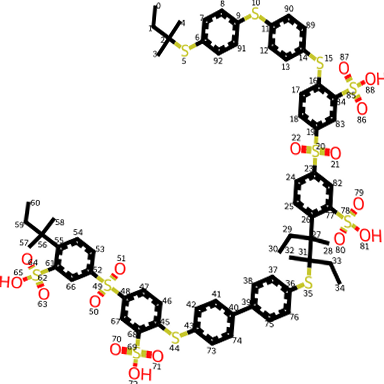 CCC(C)(C)Sc1ccc(Sc2ccc(Sc3ccc(S(=O)(=O)c4ccc(C(C)(CC)C(C)(CC)Sc5ccc(-c6ccc(Sc7ccc(S(=O)(=O)c8ccc(C(C)(C)CC)c(S(=O)(=O)O)c8)cc7S(=O)(=O)O)cc6)cc5)c(S(=O)(=O)O)c4)cc3S(=O)(=O)O)cc2)cc1